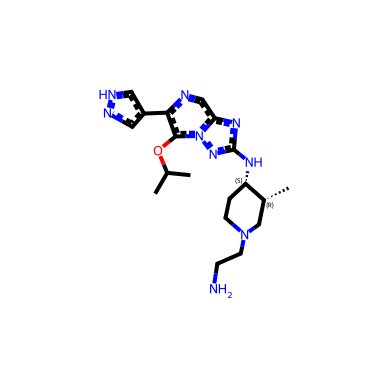 CC(C)Oc1c(-c2cn[nH]c2)ncc2nc(N[C@H]3CCN(CCN)C[C@H]3C)nn12